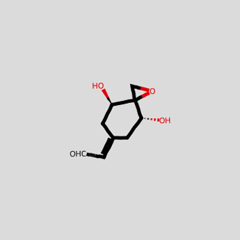 O=CC=C1C[C@@H](O)C2(CO2)[C@H](O)C1